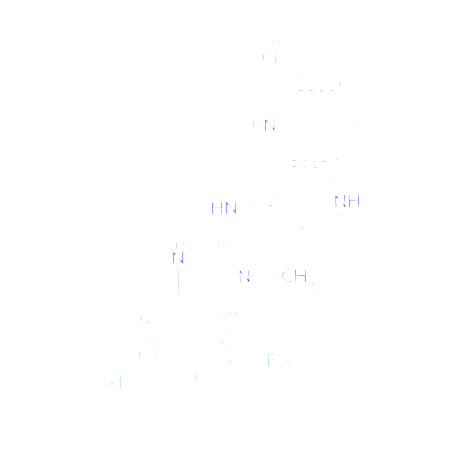 Cn1c(Nc2c[nH]c3ccc(Cl)nc23)nc2cc(F)cc(F)c21